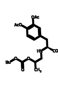 CCC(C)OC(=O)OC(C)CN[C@@H](Cc1ccc(OC(C)=O)c(OC(C)=O)c1)C(=O)O